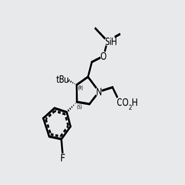 C[SiH](C)OCC1[C@@H](C(C)(C)C)[C@@H](c2cccc(F)c2)CN1CC(=O)O